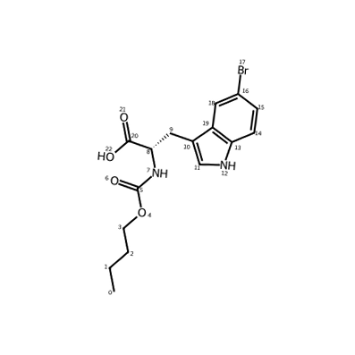 CCCCOC(=O)N[C@@H](Cc1c[nH]c2ccc(Br)cc12)C(=O)O